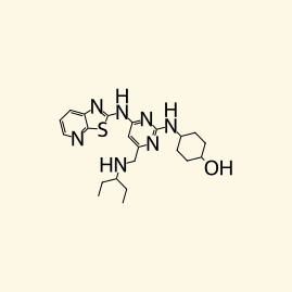 CCC(CC)NCc1cc(Nc2nc3cccnc3s2)nc(NC2CCC(O)CC2)n1